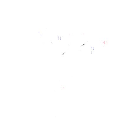 CN1CCN(C(=O)[C@@]2(Cc3ccc(OCc4ccccc4)cc3)C[C@@H]2C(=O)NO)CC1